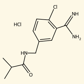 CC(C)C(=O)NCc1ccc(Cl)c(C(=N)N)c1.Cl